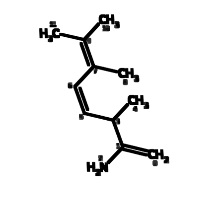 C=C(N)C(C)/C=C\C(C)=C(C)C